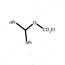 C[CH]CC(CCC)OC(=O)OCC